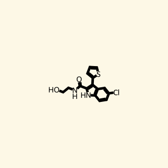 O=C(NCCO)c1[nH]c2ccc(Cl)cc2c1-c1cccs1